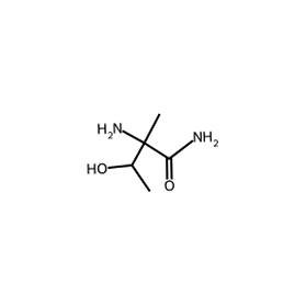 CC(O)C(C)(N)C(N)=O